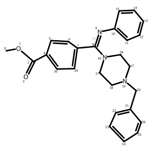 COC(=O)c1ccc(/C(=N/c2ccccc2)N2CCN(Cc3ccccc3)CC2)cc1